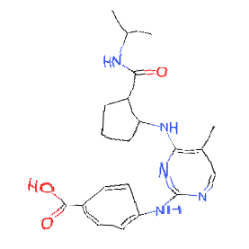 Cc1cnc(Nc2ccc(C(=O)O)cc2)nc1NC1CCCC1C(=O)NC(C)C